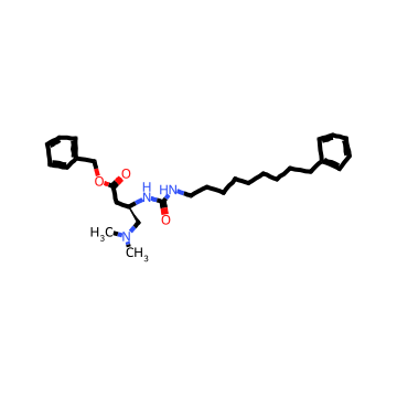 CN(C)C[C@@H](CC(=O)OCc1ccccc1)NC(=O)NCCCCCCCCCc1ccccc1